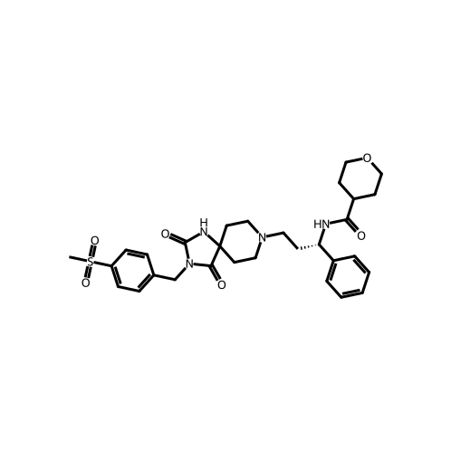 CS(=O)(=O)c1ccc(CN2C(=O)NC3(CCN(CC[C@H](NC(=O)C4CCOCC4)c4ccccc4)CC3)C2=O)cc1